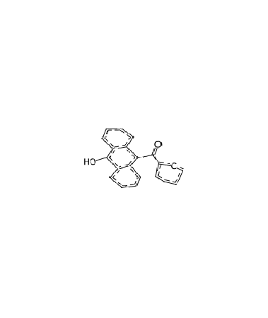 O=C(c1ccccc1)c1c2ccccc2c(O)c2ccccc12